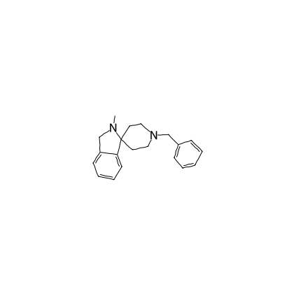 CN1Cc2ccccc2C12CCN(Cc1ccccc1)CC2